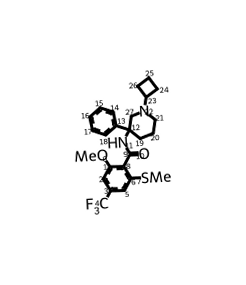 COc1cc(C(F)(F)F)cc(SC)c1C(=O)NC1(c2ccccc2)CCCN(C2CCC2)C1